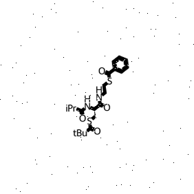 CC(C)C(=O)N[C@@H](CSC(=O)C(C)(C)C)C(=O)NCCSC(=O)c1ccccc1